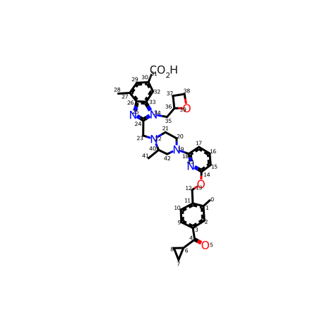 Cc1cc(C(=O)C2CC2)ccc1COc1cccc(N2CCN(Cc3nc4c(C)cc(C(=O)O)cc4n3CC3CCO3)C(C)C2)n1